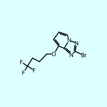 FC(F)(F)CCCOc1cccn2nc(Br)nc12